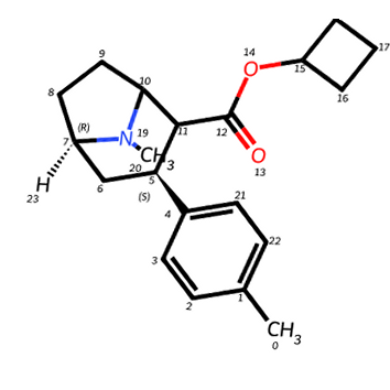 Cc1ccc([C@H]2C[C@H]3CCC(C2C(=O)OC2CCC2)N3C)cc1